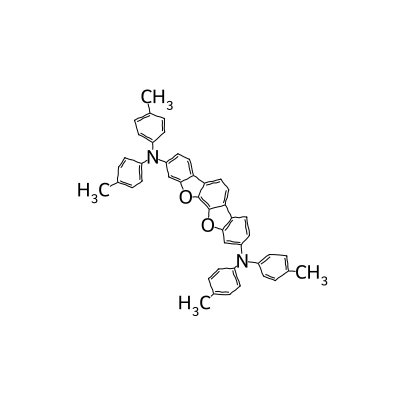 Cc1ccc(N(c2ccc(C)cc2)c2ccc3c(c2)oc2c3ccc3c4ccc(N(c5ccc(C)cc5)c5ccc(C)cc5)cc4oc32)cc1